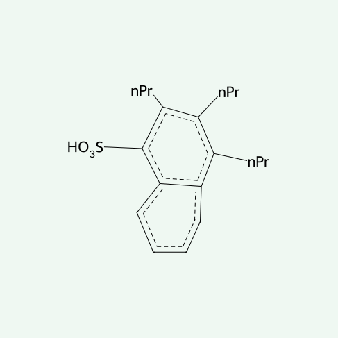 CCCc1c(CCC)c(S(=O)(=O)O)c2ccccc2c1CCC